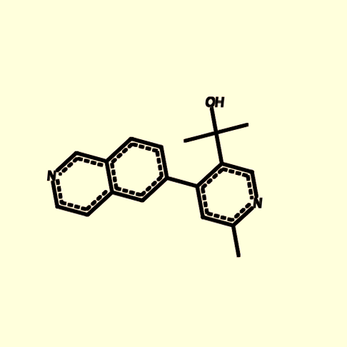 Cc1cc(-c2ccc3cnccc3c2)c(C(C)(C)O)cn1